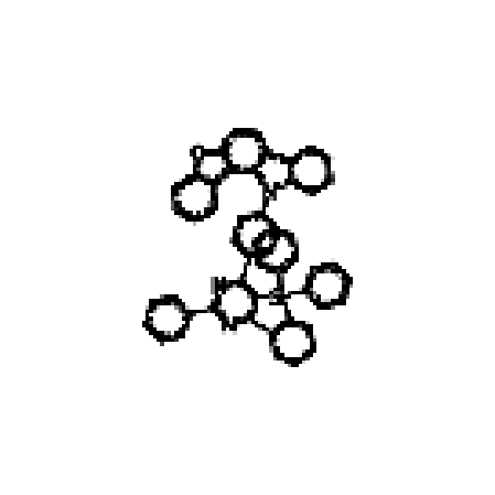 c1ccc(-c2nc(-c3ccc(-n4c5ccccc5c5ccc6oc7ccccc7c6c54)cc3)c3c(n2)-c2ccccc2[Si]3(c2ccccc2)c2ccccc2)cc1